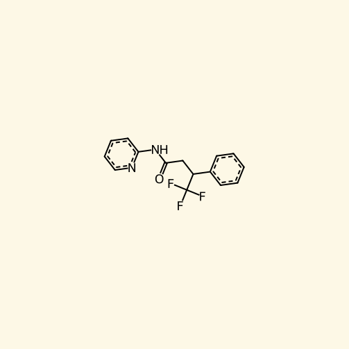 O=C(CC(c1ccccc1)C(F)(F)F)Nc1ccccn1